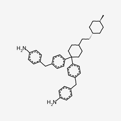 C[C@H]1CC[C@H](CCC2CCC(c3ccc(Cc4ccc(N)cc4)cc3)(c3ccc(Cc4ccc(N)cc4)cc3)CC2)CC1